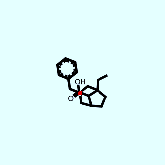 CCC12CCC(CN(Cc3ccccc3)C1)C2C(=O)O